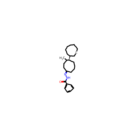 CC1CC/C(=N/NC(=O)c2ccccc2)CCCC[C@@H]1C1CCCCCCCC1